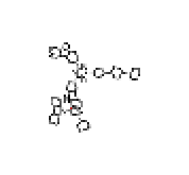 c1ccc(-c2ccc(-c3ccc(-c4nc(-c5ccc6oc7ccccc7c6c5)nc(-c5ccc6c(c5)c5ccccc5n6-c5cccc6c7ccccc7n(-c7cccc(-c8ccccc8)c7)c56)n4)cc3)cc2)cc1